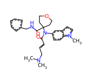 CN(C)C/C=C/C(=O)N(c1ccc2c(ccn2C)c1)C1(C(=O)NCc2ccccc2)CCOCC1